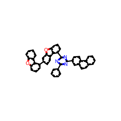 c1ccc(-c2nc(-c3ccc4c(ccc5ccccc54)c3)nc(-c3cccc4oc5cc(-c6cccc7oc8ccccc8c67)ccc5c34)n2)cc1